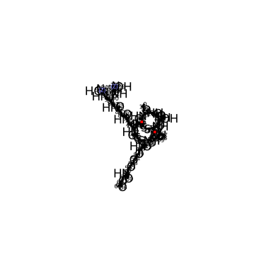 CCCC[C@@H]1NC(=O)[C@@H]2CSSC[C@H](NC(=O)[C@H](CC(=O)O)NC(=O)CNC1=O)C(=O)N[C@@H](Cc1ccccc1)C(=O)N[C@H](C(=O)NCCOCCOCCOCCNC(=O)COCC(C)=O)CSCC(=O)N[C@@H](CCCCNC(=O)CCCC(=O)NCCC(CCNC(C)(C)/C(C)=N\O)CCNC(C)(C)/C(C)=N\O)C(=O)N2